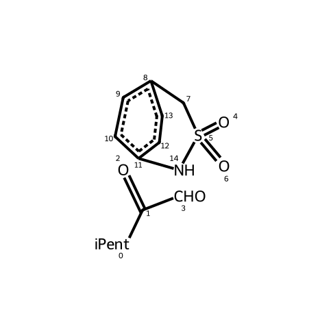 CCCC(C)C(=O)C=O.O=S1(=O)Cc2ccc(cc2)N1